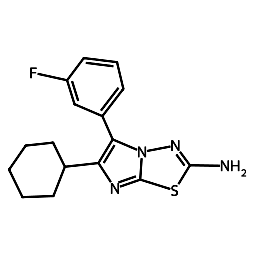 Nc1nn2c(-c3cccc(F)c3)c(C3CCCCC3)nc2s1